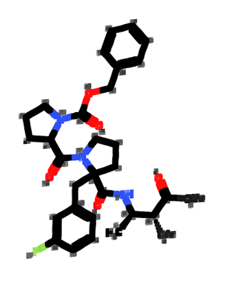 COC(=O)[C@H](OC(C)=O)[C@@H](C)NC(=O)C1(Cc2cccc(F)c2)CCCN1C(=O)C1CCCN1C(=O)OCc1ccccc1